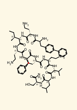 CC[C@H](C)[C@H](NC(=O)[C@H](CCN)NC(=O)C(N)Cc1ccc(-c2ccccc2)cc1)C(=O)N[C@@H](CCN)C(=O)N[C@H](Cc1ccccc1)C(=O)N[C@@H](CC(C)C)C(=O)N[C@@H](CCN)C(=O)N[C@@H](C(=O)N[C@@H](CC(C)C)C(=O)N[C@@H](CO)C(N)=O)C(C)C